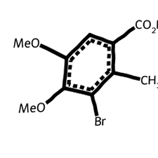 COc1cc(C(=O)O)c(C)c(Br)c1OC